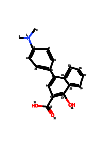 CN(C)c1ccc(-c2cc(C(=O)O)c(O)c3ccccc23)cc1